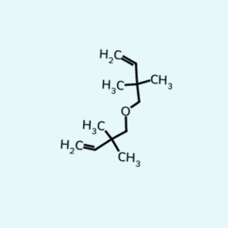 C=CC(C)(C)COCC(C)(C)C=C